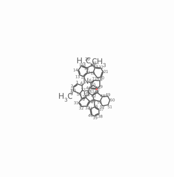 C[C@@H]1C=CC(N(C2=CCCC=C2)c2cccc3c2C2CC=CC=C2C3(C)C)C2Oc3c(cccc3C3(c4ccccc4)C4=C(CCCC4)C4CCCCC43)C21